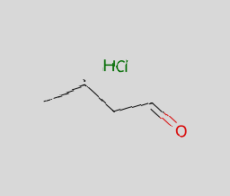 C[CH]CC=O.Cl